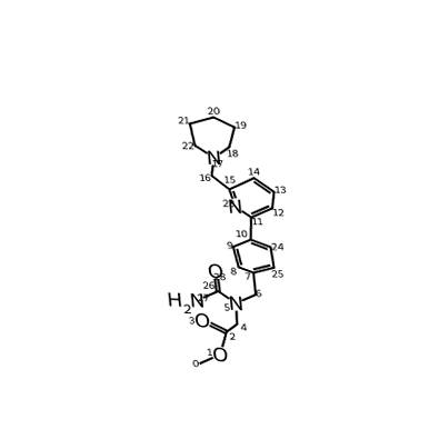 COC(=O)CN(Cc1ccc(-c2cccc(CN3CCCCC3)n2)cc1)C(N)=O